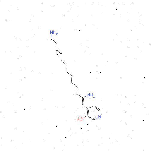 NCCCCCCCCCCCC(N)=Cc1ccncc1O